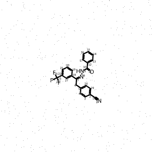 N#Cc1ccc(CC(=NNC(=O)c2c[c]ccc2)c2cccc(C(F)(F)F)c2)cc1